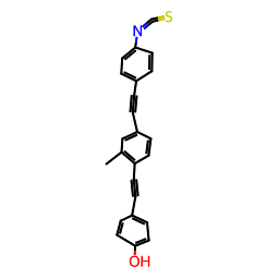 Cc1cc(C#Cc2ccc(N=C=S)cc2)ccc1C#Cc1ccc(O)cc1